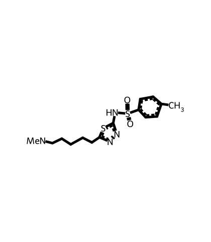 CNCCCCCc1nnc(NS(=O)(=O)c2ccc(C)cc2)s1